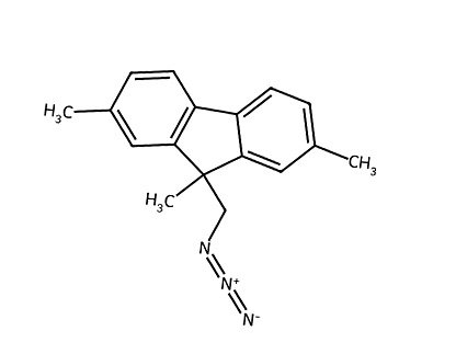 Cc1ccc2c(c1)C(C)(CN=[N+]=[N-])c1cc(C)ccc1-2